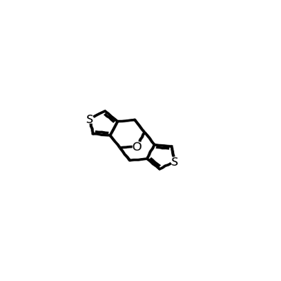 c1scc2c1CC1OC2Cc2cscc21